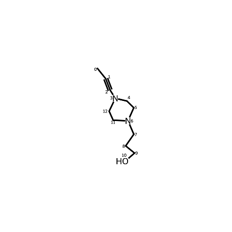 CC#CN1CCN(CCCO)CC1